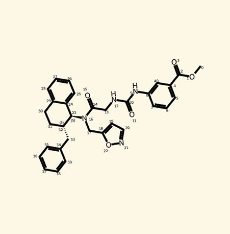 COC(=O)c1cccc(NC(=O)NCC(=O)N(Cc2ccno2)[C@@H]2c3ccccc3CC[C@H]2Cc2ccccc2)c1